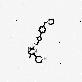 Cc1cnc(OCC2CC(c3ccc(CN4CCCC4)cc3)C2)nc1C1CCCNC1